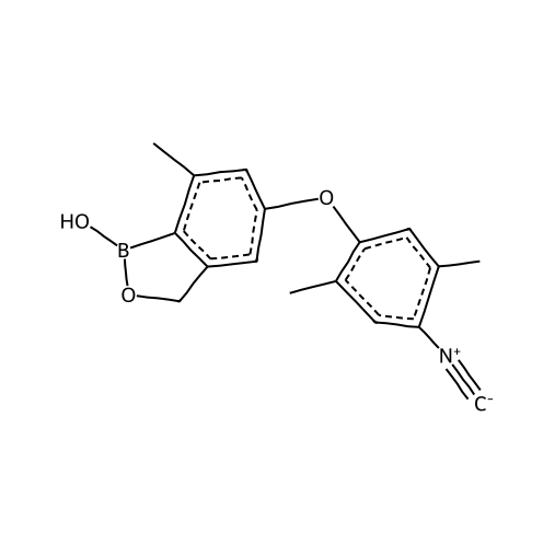 [C-]#[N+]c1cc(C)c(Oc2cc(C)c3c(c2)COB3O)cc1C